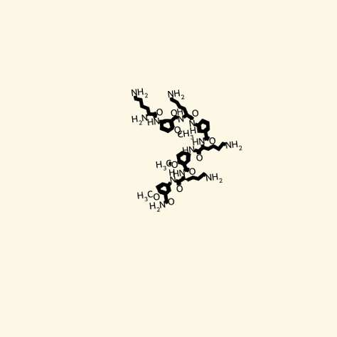 COc1ccc(NC(=O)[C@H](CCCCN)NC(=O)c2cc(NC(=O)C(CCCCN)NC(=O)c3cccc(NC(=O)C(CCCCN)NC(=O)c4cc(NC(=O)[C@@H](N)CCCCN)ccc4OC)c3)ccc2OC)cc1C(N)=O